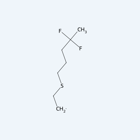 [CH2]CSCCCC(C)(F)F